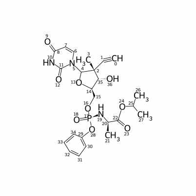 C#C[C@@]1(C)C(n2ccc(=O)[nH]c2=O)O[C@H](CO[P@](=O)(N[C@H](C)C(=O)OC(C)C)Oc2ccccc2)[C@H]1O